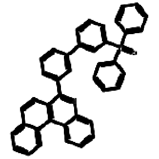 O=P(c1ccccc1)(c1ccccc1)c1cccc(-c2cccc(-c3nc4ccccc4c4c3ccc3ccccc34)c2)c1